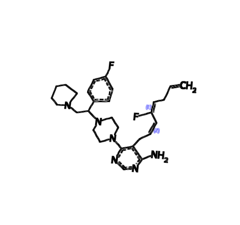 C=CC/C=C(F)\C=C/Cc1c(N)ncnc1N1CCN(C(CN2CCCCC2)c2ccc(F)cc2)CC1